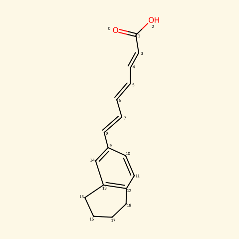 O=C(O)C=CC=CC=Cc1ccc2c(c1)CCCC2